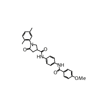 COc1ccc(C(=O)Nc2ccc(NC(=O)C3CC(=O)N(c4cc(C)ccc4C)C3)cc2)cc1